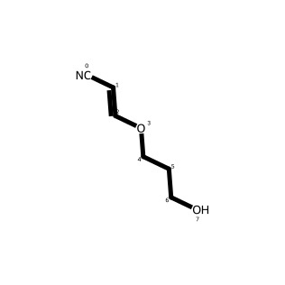 N#C/C=C/OCCCO